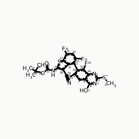 CSc1nc(O)c2cc(Cl)c(-c3c(F)cc(F)c4sc(NC(=O)OC(C)(C)C)c(C#N)c34)c(F)c2n1